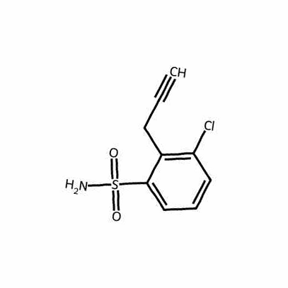 C#CCc1c(Cl)cccc1S(N)(=O)=O